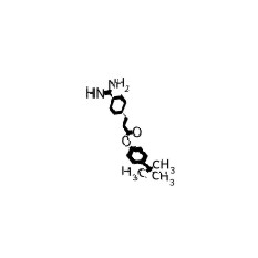 CC(C)(C)c1ccc(OC(=O)CC[C@H]2CC[C@H](C(=N)N)CC2)cc1